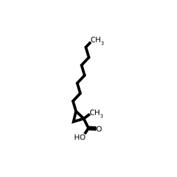 CCCCCCCCC1CC1(C)C(=O)O